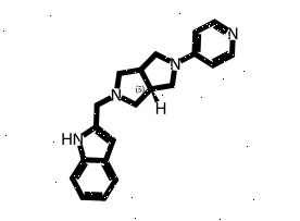 c1ccc2[nH]c(CN3CC4CN(c5ccncc5)C[C@@H]4C3)cc2c1